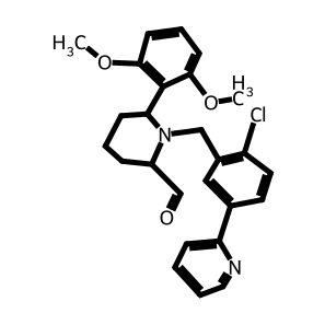 COc1cccc(OC)c1C1CCCC(C=O)N1Cc1cc(-c2ccccn2)ccc1Cl